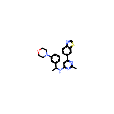 Cc1nc(NC(C)c2cccc(N3CCOCC3)c2)cc(-c2ccc3ncsc3c2)n1